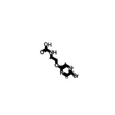 O=C(O)NCCOc1cnc(Br)cn1